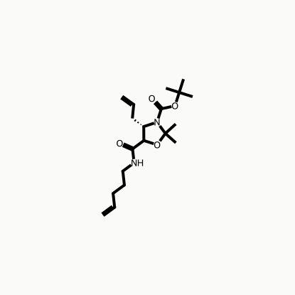 C=CCCCNC(=O)C1OC(C)(C)N(C(=O)OC(C)(C)C)[C@H]1CC=C